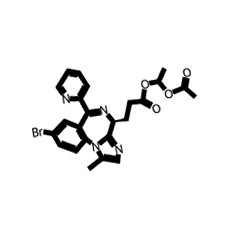 CC(=O)OC(C)OC(=O)CC[C@@H]1N=C(c2ccccn2)c2cc(Br)ccc2-n2c(C)cnc21